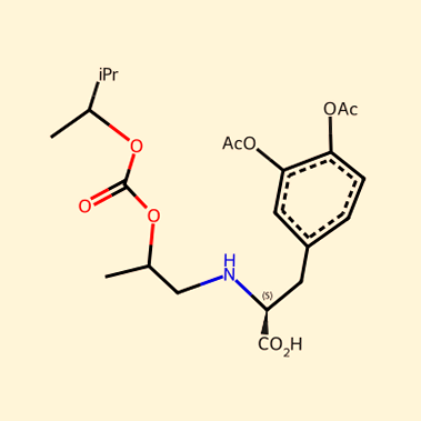 CC(=O)Oc1ccc(C[C@H](NCC(C)OC(=O)OC(C)C(C)C)C(=O)O)cc1OC(C)=O